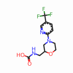 O=C(O)NCC1CN(c2ccc(C(F)(F)F)cn2)CCO1